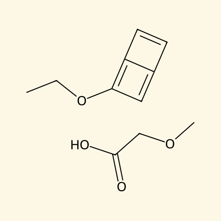 CCOc1cc2ccc1-2.COCC(=O)O